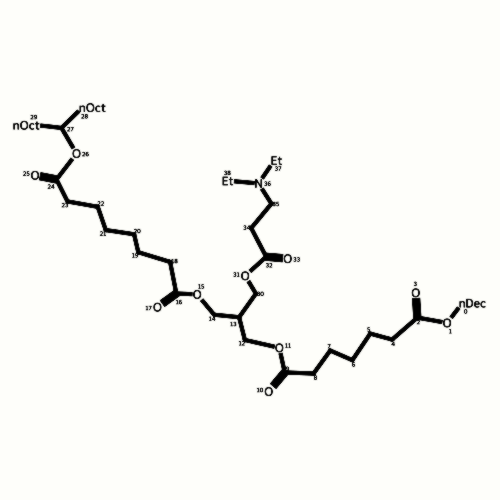 CCCCCCCCCCOC(=O)CCCCCC(=O)OCC(COC(=O)CCCCCCC(=O)OC(CCCCCCCC)CCCCCCCC)COC(=O)CCN(CC)CC